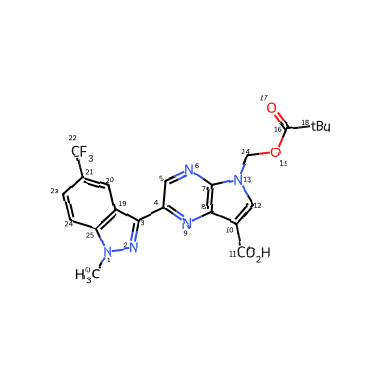 Cn1nc(-c2cnc3c(n2)c(C(=O)O)cn3COC(=O)C(C)(C)C)c2cc(C(F)(F)F)ccc21